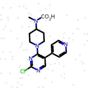 CN(C(=O)O)C1CCN(c2nc(Cl)ncc2-c2ccncc2)CC1